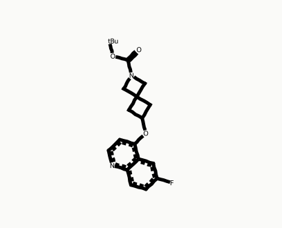 CC(C)(C)OC(=O)N1CC2(CC(Oc3ccnc4ccc(F)cc34)C2)C1